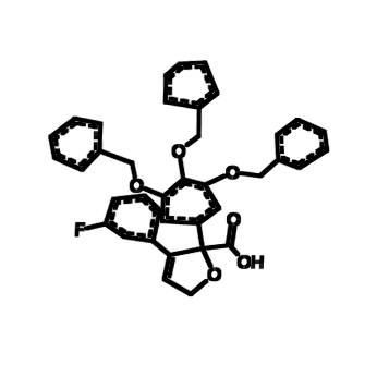 O=C(O)C1(c2cc(OCc3ccccc3)c(OCc3ccccc3)c(OCc3ccccc3)c2)OCC=C1c1cccc(F)c1